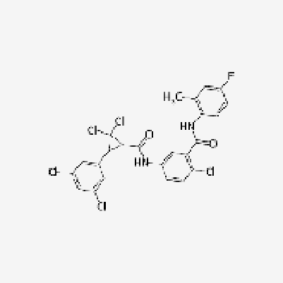 Cc1cc(F)ccc1NC(=O)c1cc(NC(=O)C2C(c3cc(Cl)cc(Cl)c3)C2(Cl)Cl)ccc1Cl